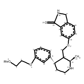 COCCOc1cccc([C@H]2CCN[C@H](C)C2COc2ccc3c(c2)C(=O)NC3)c1